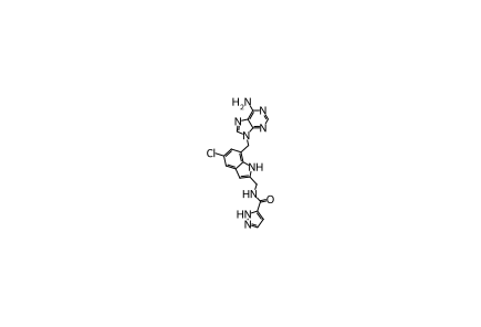 Nc1ncnc2c1ncn2Cc1cc(Cl)cc2cc(CNC(=O)c3ccn[nH]3)[nH]c12